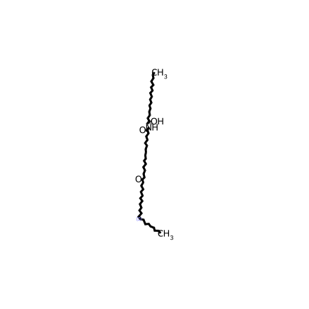 CCCCCCCC/C=C\CCCCCCCCCCCC(=O)CCCCCCCCCCCCCCCC(=O)NC[C@@H](O)CCCCCCCCCCCCCCCC